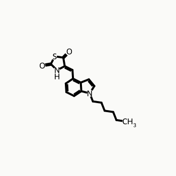 CCCCCCn1ccc2c(C=C3NC(=O)SC3=O)cccc21